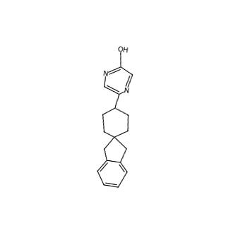 Oc1cnc(C2CCC3(CC2)Cc2ccccc2C3)cn1